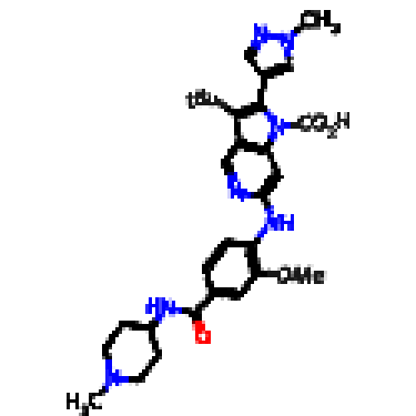 COc1cc(C(=O)NC2CCN(C)CC2)ccc1Nc1cc2c(cn1)c(C(C)(C)C)c(-c1cnn(C)c1)n2C(=O)O